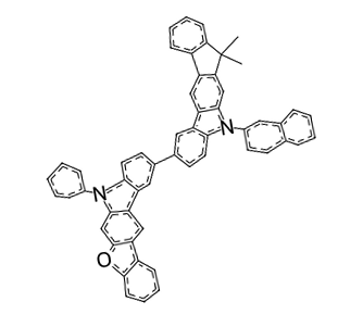 CC1(C)c2ccccc2-c2cc3c4cc(-c5ccc6c(c5)c5cc7c(cc5n6-c5ccccc5)oc5ccccc57)ccc4n(-c4ccc5ccccc5c4)c3cc21